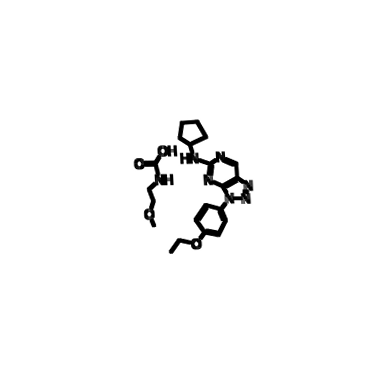 CCOc1ccc(-n2nnc3cnc(NC4CCCC4)nc32)cc1.COCCNC(=O)O